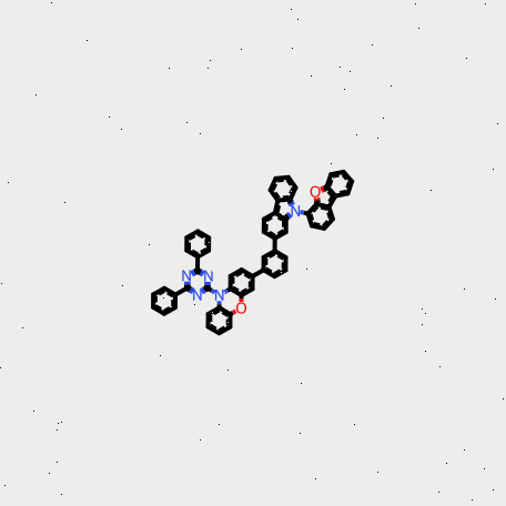 c1ccc(-c2nc(-c3ccccc3)nc(N3c4ccccc4Oc4cc(-c5cccc(-c6ccc7c8ccccc8n(-c8cccc9c8oc8ccccc89)c7c6)c5)ccc43)n2)cc1